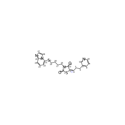 O=C1S/C(=C/CCc2cccnc2)C(=O)N1CCCCSc1cccc2nccn12